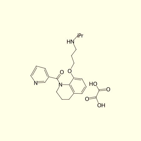 CC(C)NCCCOc1cccc2c1N(C(=O)c1cccnc1)CCC2.O=C(O)C(=O)O